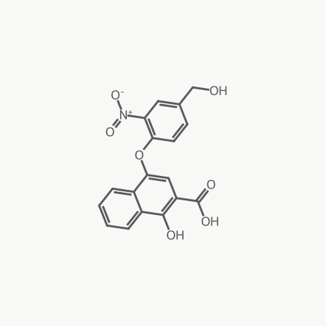 O=C(O)c1cc(Oc2ccc(CO)cc2[N+](=O)[O-])c2ccccc2c1O